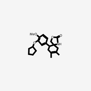 COc1ccc(C2CC(C)=C(C)CC23COC(=O)N3)cc1OC1CCCC1